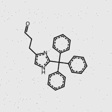 O=CCCc1c[nH]c(C(c2ccccc2)(c2ccccc2)c2ccccc2)n1